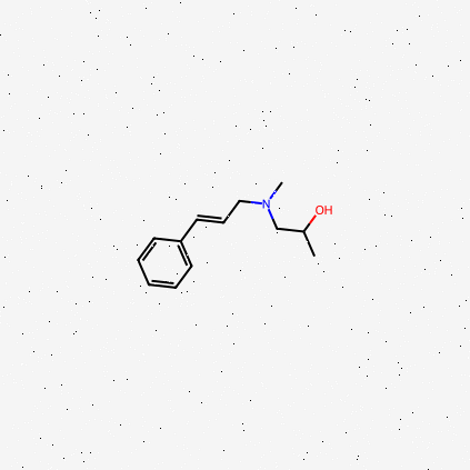 CC(O)CN(C)C/C=C/c1ccccc1